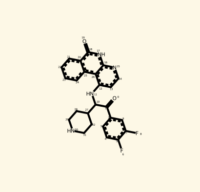 O=C(c1ccc(F)c(F)c1)C(Nc1ccnc2[nH]c(=O)c3ccccc3c12)C1CCNCC1